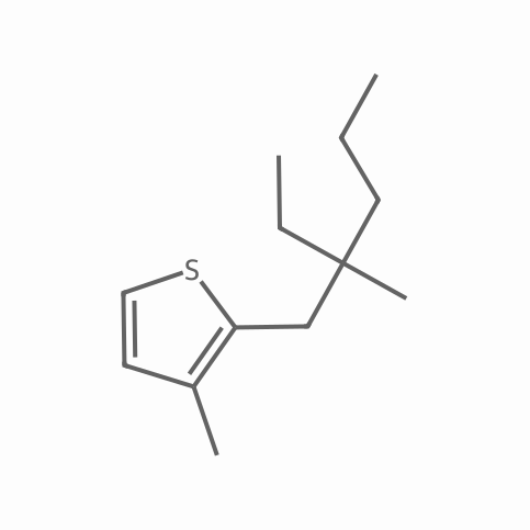 CCCC(C)(CC)Cc1sccc1C